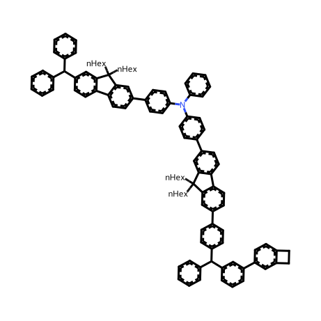 CCCCCCC1(CCCCCC)c2cc(-c3ccc(C(c4ccccc4)c4cccc(-c5ccc6c(c5)CC6)c4)cc3)ccc2-c2ccc(-c3ccc(N(c4ccccc4)c4ccc(-c5ccc6c(c5)C(CCCCCC)(CCCCCC)c5cc(C(c7ccccc7)c7ccccc7)ccc5-6)cc4)cc3)cc21